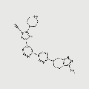 C#Cc1cc(-c2ccnc(-c3cnc(N4CCn5c(nnc5C(F)(F)F)C4)nc3)c2)[nH]c1N1CCNCC1